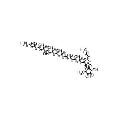 C/C=C/C=C/CC(OC1OC(C)C(O)C(O)C1O)C(C)C(=O)CC(O)CC(O)CC(O)/C=C/CC(O)CC(O)CC(O)CC(O)C(O)C(O)CC(O)CC(O)CCCN